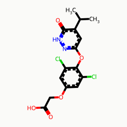 CC(C)c1cc(Oc2c(Cl)cc(OCC(=O)O)cc2Cl)n[nH]c1=O